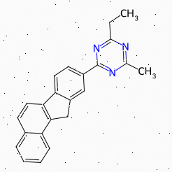 CCc1nc(C)nc(-c2ccc3c(c2)Cc2c-3ccc3ccccc23)n1